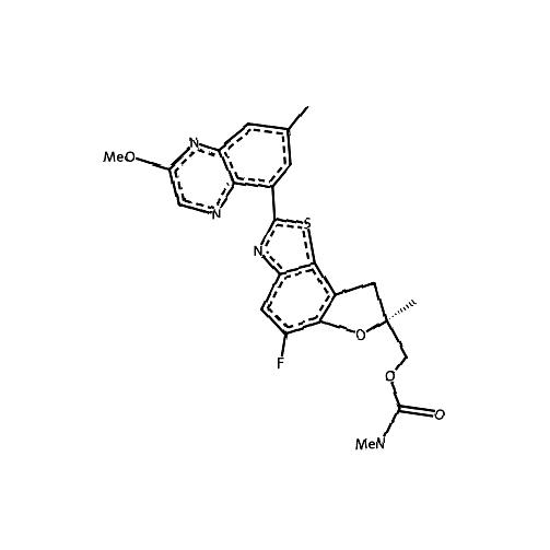 CNC(=O)OC[C@]1(C)Cc2c(c(F)cc3nc(-c4cc(C)cc5nc(OC)cnc45)sc23)O1